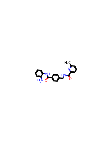 Cc1cccc(C(=O)NCc2ccc(C(=O)Nc3ccccc3N)cc2)n1